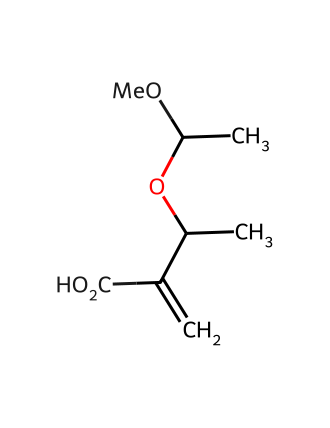 C=C(C(=O)O)C(C)OC(C)OC